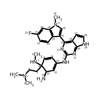 CNC1(CCN(C)C)C=CC(Nc2nc(-c3cn(C)c4cc(F)ccc34)c3cc[nH]c3n2)=CC1N